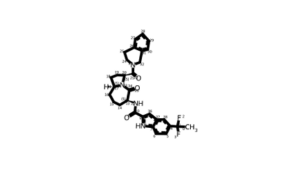 CC(F)(F)c1ccc2[nH]c(C(=O)N[C@H]3CCC[C@H]4CC[C@@H](C(=O)N5CCc6ccccc6C5)N4C3=O)cc2c1